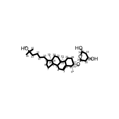 C[C@@H]1C2=CCC3C4CCC(CCCCC(C)(C)O)[C@@]4(C)CC[C@@]3(C)C2CC[C@@H]1O[C@H]1C[C@@H](O)C[C@@H](O)O1